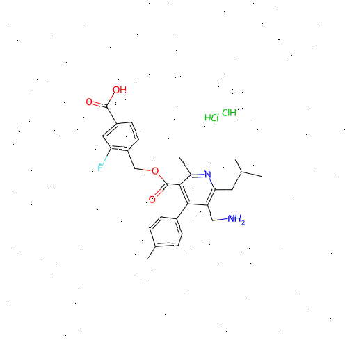 Cc1ccc(-c2c(CN)c(CC(C)C)nc(C)c2C(=O)OCc2ccc(C(=O)O)cc2F)cc1.Cl.Cl